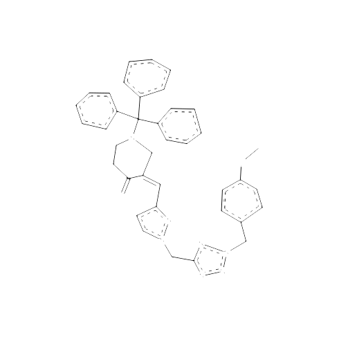 COc1ccc(Cn2nnc(Cn3ccc(/C=C4/CN(C(c5ccccc5)(c5ccccc5)c5ccccc5)CCC4=O)n3)n2)cc1